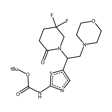 CC(C)(C)OC(=O)Nc1ncc(C(CN2CCOCC2)N2CC(F)(F)CCC2=O)s1